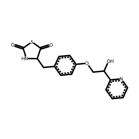 O=C1NC(Cc2ccc(OCC(O)c3ccccn3)cc2)C(=O)S1